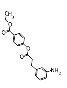 CCOC(=O)c1ccc(OC(=O)CCc2cccc(N)c2)cc1